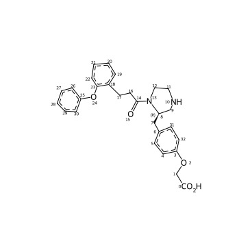 O=C(O)COc1ccc(C[C@@H]2CNCCN2C(=O)CCc2ccccc2Oc2ccccc2)cc1